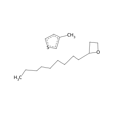 CCCCCCCCCC1CCO1.Cc1ccsc1